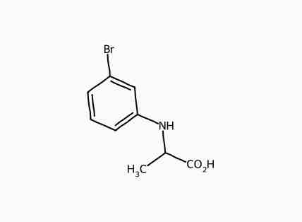 CC(Nc1cccc(Br)c1)C(=O)O